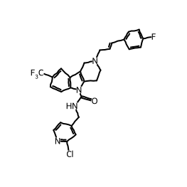 O=C(NCc1ccnc(Cl)c1)n1c2c(c3cc(C(F)(F)F)ccc31)CN(CC=Cc1ccc(F)cc1)CC2